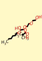 C=C(C)C(=O)O.CCCCCCOC(O)COCCOCCO